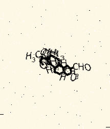 C[C@]12CC(C=O)C(=O)C[C@@H]1CC[C@@H]1[C@@H]2CC[C@@]2(C)[C@H]1OC[C@]2(C)O